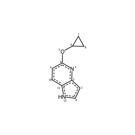 c1cc2nc(OC3CC3)ccc2[nH]1